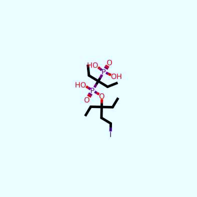 CCC(CC)(CCI)OP(=O)(O)C(CC)(CC)P(=O)(O)O